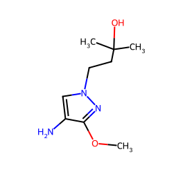 COc1nn(CCC(C)(C)O)cc1N